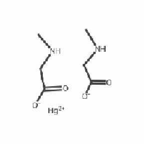 CNCC(=O)[O-].CNCC(=O)[O-].[Hg+2]